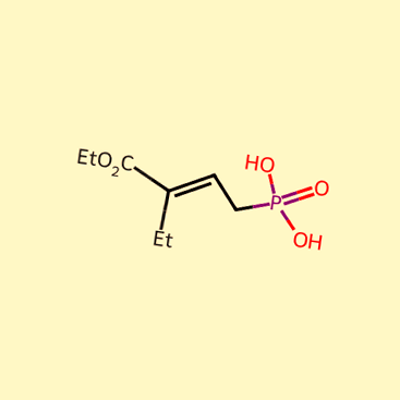 CCOC(=O)C(=CCP(=O)(O)O)CC